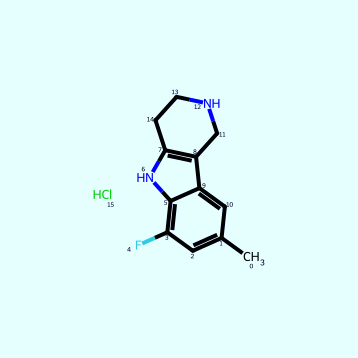 Cc1cc(F)c2[nH]c3c(c2c1)CNCC3.Cl